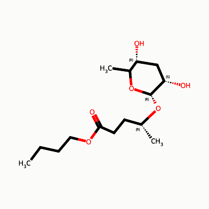 CCCCOC(=O)CC[C@@H](C)O[C@@H]1OC(C)[C@H](O)C[C@@H]1O